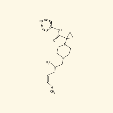 C=C/C=C\C=C(/C)CN1CCN(C2(C(=O)Nc3ccncc3)CC2)CC1